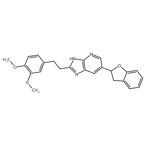 COc1ccc(CCc2nc3cc(C4Cc5ccccc5O4)cnc3[nH]2)cc1OC